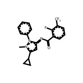 Cn1c(C2CC2)c/c(=N\C(=O)c2cccc(C(F)(F)F)c2F)n1-c1ccccc1